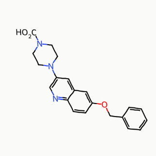 O=C(O)N1CCN(c2cnc3ccc(OCc4ccccc4)cc3c2)CC1